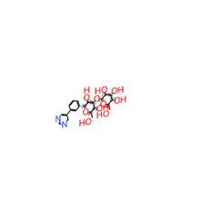 OC[C@H]1O[C@H](O[C@@H]2[C@H](O)[C@@H](c3cccc(-c4cncnc4)c3)O[C@H](CO)[C@H]2O)[C@@H](O)[C@@H](O)[C@@H]1O